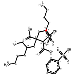 CCCCC(CC)CC(CC(CC)CCCC)(C(=O)O)C(C(=O)O)S(=O)(=O)O.O=S(=O)(O)c1ccccc1